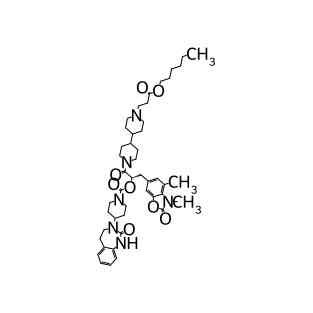 CCCCCCOC(=O)CCN1CCC(C2CCN(C(=O)[C@@H](Cc3cc(C)c4c(c3)oc(=O)n4C)OC(=O)N3CCC(N4CCc5ccccc5NC4=O)CC3)CC2)CC1